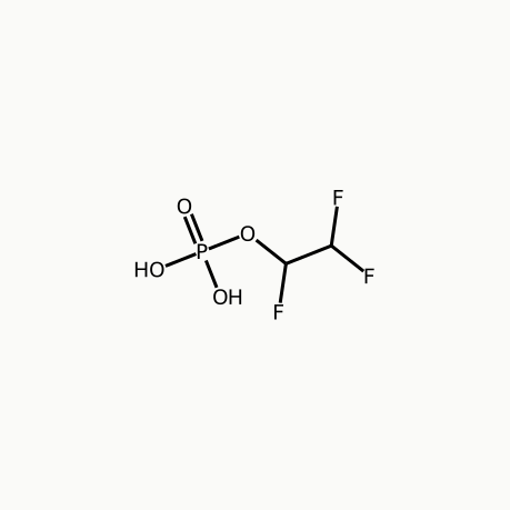 O=P(O)(O)OC(F)C(F)F